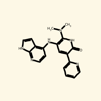 CN(C)c1[nH]c(=O)c(-c2ccccn2)cc1Nc1ccnc2[nH]ccc12